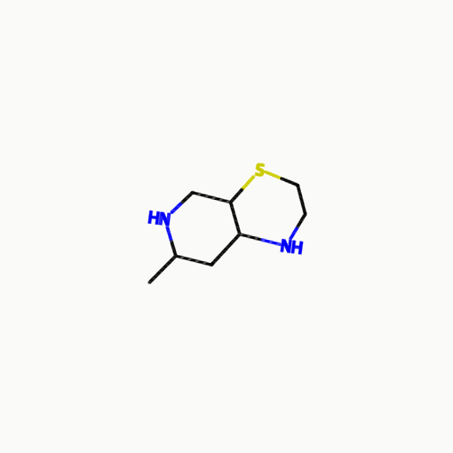 CC1CC2NCCSC2CN1